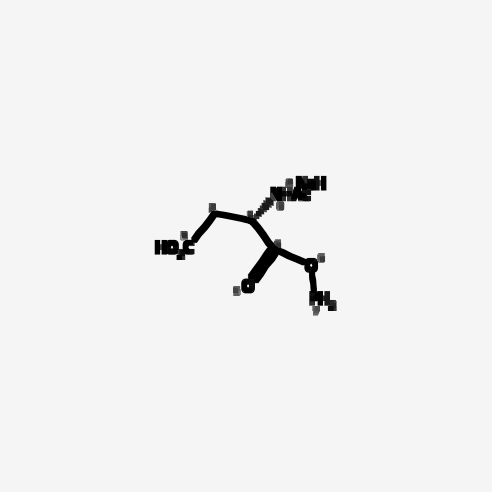 CC(=O)N[C@@H](CC(=O)O)C(=O)OP.[NaH]